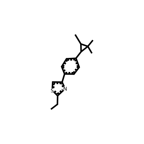 CCc1nc(-c2ccc(C3C(C)C3(C)C)cc2)cs1